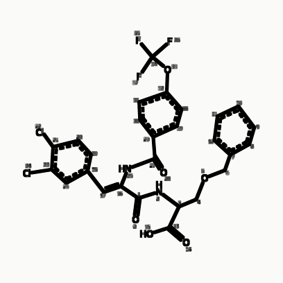 O=C(NC(COCc1ccccc1)C(=O)O)C(=Cc1ccc(Cl)c(Cl)c1)NC(=O)c1ccc(OC(F)(F)F)cc1